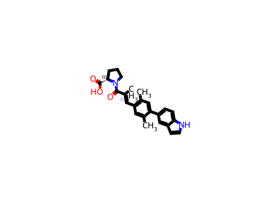 C/C(=C\c1cc(C)c(-c2ccc3[nH]ccc3c2)cc1C)C(=O)N1CCC[C@H]1C(=O)O